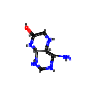 Nc1nc[nH]c2nc(=O)cnc1-2